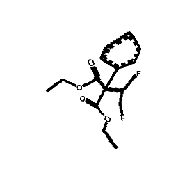 CCOC(=O)C(C(=O)OCC)(c1ccccc1)C(F)F